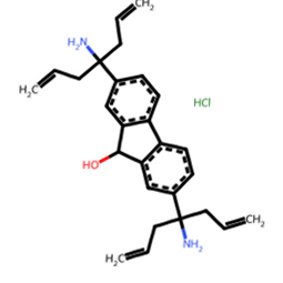 C=CCC(N)(CC=C)c1ccc2c(c1)C(O)c1cc(C(N)(CC=C)CC=C)ccc1-2.Cl